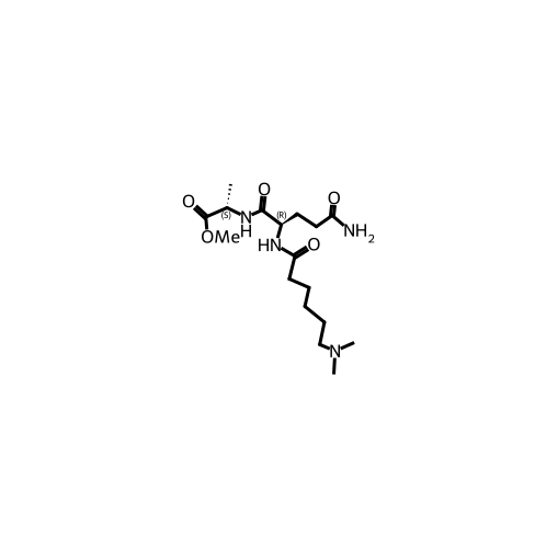 COC(=O)[C@H](C)NC(=O)[C@@H](CCC(N)=O)NC(=O)CCCCCN(C)C